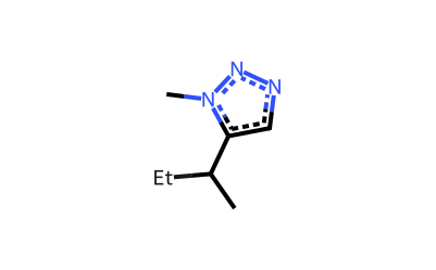 CCC(C)c1cnnn1C